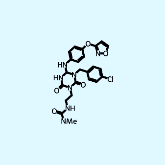 CNC(=O)NCCN1C(=O)NC(Nc2ccc(Oc3ccon3)cc2)N(Cc2ccc(Cl)cc2)C1=O